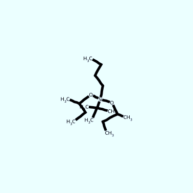 CCCC[Si](OC(C)CC)(OC(C)CC)C(C)(C)C